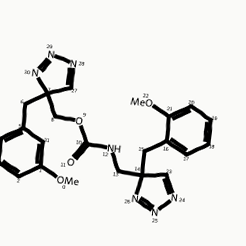 COc1cccc(CC2(COC(=O)NCC3(Cc4ccccc4OC)C=NN=N3)C=NN=N2)c1